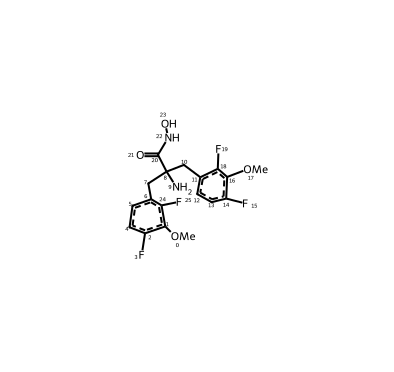 COc1c(F)ccc(CC(N)(Cc2ccc(F)c(OC)c2F)C(=O)NO)c1F